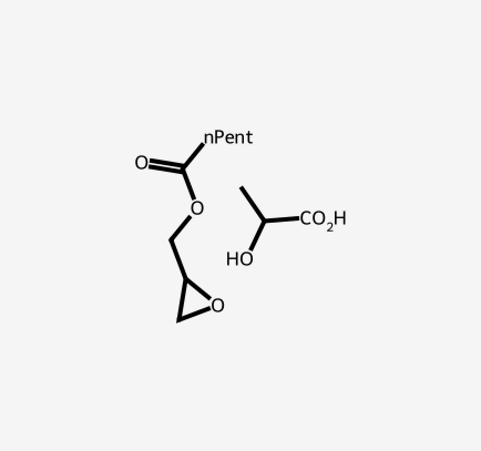 CC(O)C(=O)O.CCCCCC(=O)OCC1CO1